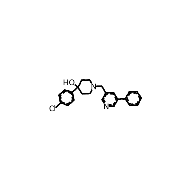 OC1(c2ccc(Cl)cc2)CCN(Cc2cncc(-c3ccccc3)c2)CC1